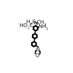 CN(C)c1c(N)cc(-c2ccc(-c3cccc(CN4CCOCC4)c3)cc2)cc1C(=O)O